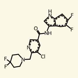 O=C(Nc1c[nH]c2cc(F)c(F)cc12)c1cnc(CN2CCC(F)(F)CC2)c(Cl)c1